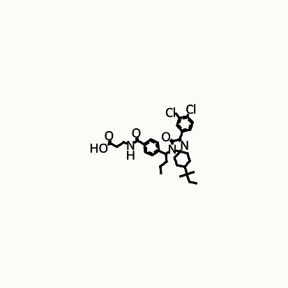 CCCC(c1ccc(C(=O)NCCC(=O)O)cc1)N1C(=O)C(c2ccc(Cl)c(Cl)c2)=NC12CCC(C(C)(C)CC)CC2